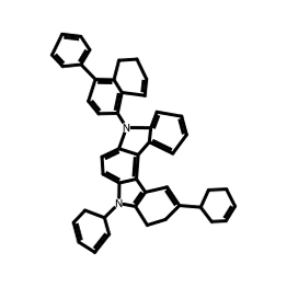 C1=CCC(n2c3c(c4c5c6ccccc6n(-c6ccc(-c7ccccc7)c7c6C=CCC7)c5ccc42)C=C(C2CC=CCC2)CC3)C=C1